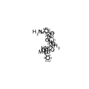 COC(=O)C(NC(=O)OCc1ccccc1)C(C)CN1C(=O)CCC(N2Cc3c(CN)cccc3C2=O)C1=O